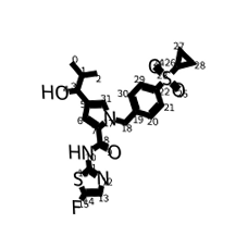 CC(C)C(O)c1cc(C(=O)Nc2ncc(F)s2)n(Cc2ccc(S(=O)(=O)C3CC3)cc2)c1